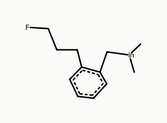 [CH3][In]([CH3])[CH2]c1ccccc1CCCF